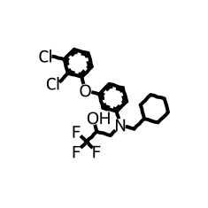 OC(CN(CC1CCCCC1)c1cccc(Oc2cccc(Cl)c2Cl)c1)C(F)(F)F